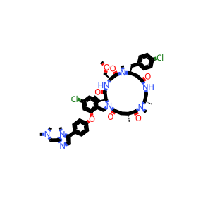 CC[C@H]1C(=O)N[C@@H](COC)C(=O)N(C)[C@@H](Cc2ccc(Cl)cc2)CC(=O)NC[C@H](C)N(C)C(=O)[C@H](C)CC(=O)N1Cc1ccc(Cl)cc1Oc1ccc(-c2cnc(CN(C)C)n2C)cc1